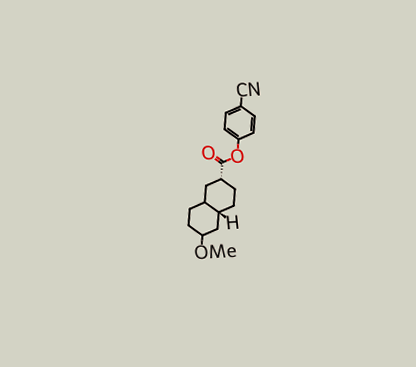 COC1CCC2C[C@H](C(=O)Oc3ccc(C#N)cc3)CC[C@@H]2C1